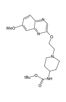 COc1ccc2ncc(OCCN3CCC(NC(=O)OC(C)(C)C)CC3)nc2c1